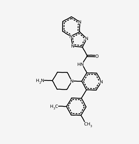 Cc1cc(C)cc(-c2cncc(NC(=O)c3nc4ncccn4n3)c2N2CCC(N)CC2)c1